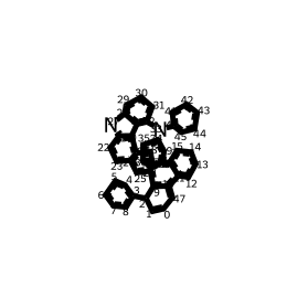 C1=CC(c2ccccc2)c2c(c3ccccc3c3cc4c5c(ccc4cc23)=Nc2cccc(N(c3ccccc3)c3ccccc3)c2-5)=C1